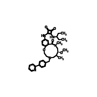 CCC(CC)Nc1c(Nc2ccc3c(c2)C(=O)N(C)C[C@H](OC)[C@@H](C)CN(Cc2ccc(-c4ccccn4)cc2)CCO3)c(=O)c1=O